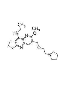 CCNc1c2c(nc3cc(COCCN4CCCC4)c(OC)nc13)CCC2